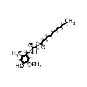 CCCCCCCCCCCC(=O)OCC(=O)NCc1cc(OC)c(O)cc1C